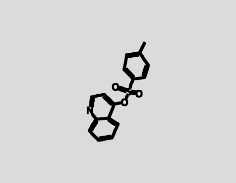 Cc1ccc(S(=O)(=O)Oc2ccnc3ccccc23)cc1